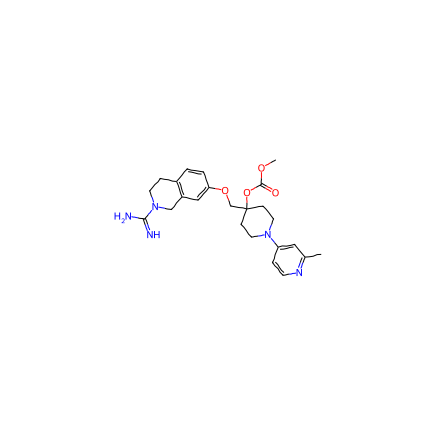 COC(=O)OC1(COc2ccc3c(c2)CN(C(=N)N)CC3)CCN(c2ccnc(C)c2)CC1